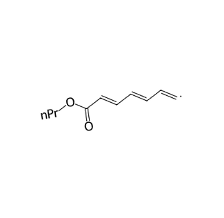 [CH]=CC=CC=CC(=O)OCCC